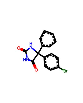 O=C1NC(=O)C(c2ccccc2)(c2ccc(Br)cc2)N1